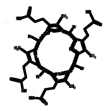 CC1=C(CCC(=O)O)c2nc1c(Br)c1[nH]c(c(Br)c3nc(c(Br)c4[nH]c(c(C)c4CCC(=O)O)c2Br)C(C)=C3CCC(=O)O)c(CCC(=O)O)c1C